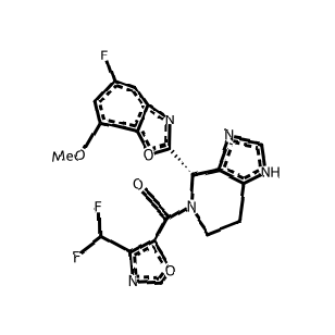 COc1cc(F)cc2nc([C@@H]3c4nc[nH]c4CCN3C(=O)c3ocnc3C(F)F)oc12